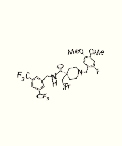 COc1cc(F)c(CN2CCC(CC(C)C)(C(=O)NCc3cc(C(F)(F)F)cc(C(F)(F)F)c3)CC2)cc1OC